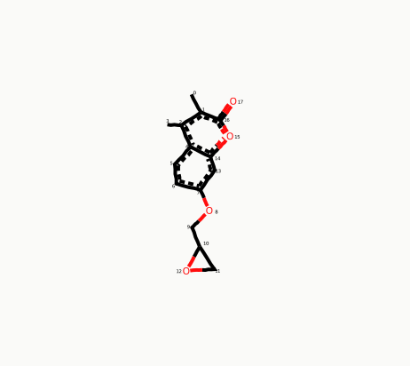 Cc1c(C)c2ccc(OCC3CO3)cc2oc1=O